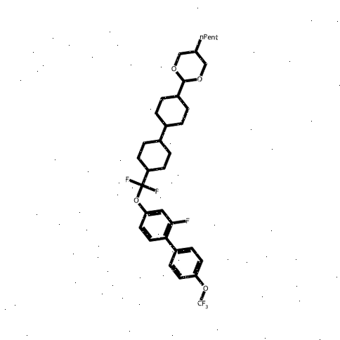 CCCCCC1COC(C2CCC(C3CCC(C(F)(F)Oc4ccc(-c5ccc(OC(F)(F)F)cc5)c(F)c4)CC3)CC2)OC1